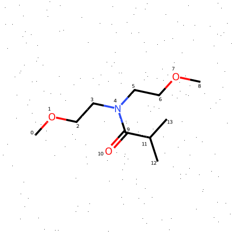 COCCN(CCOC)C(=O)C(C)C